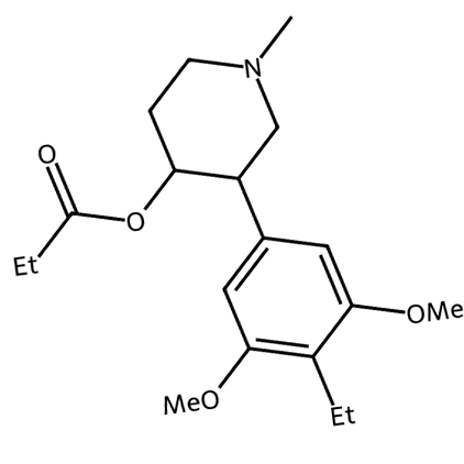 CCC(=O)OC1CCN(C)CC1c1cc(OC)c(CC)c(OC)c1